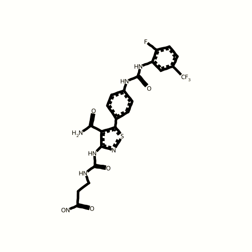 NC(=O)c1c(NC(=O)NCCC(=O)N=O)nsc1-c1ccc(NC(=O)Nc2cc(C(F)(F)F)ccc2F)cc1